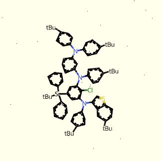 CC(C)(C)c1ccc(N(c2ccc(C(C)(C)C)cc2)c2cccc(N(c3ccc(C(C)(C)C)cc3)c3cc([Si](c4ccccc4)(c4ccccc4)C(C)(C)C)cc(N(c4ccc(C(C)(C)C)cc4)c4csc5ccc(C(C)(C)C)cc45)c3Cl)c2)cc1